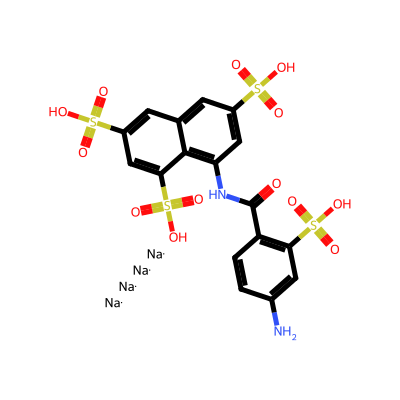 Nc1ccc(C(=O)Nc2cc(S(=O)(=O)O)cc3cc(S(=O)(=O)O)cc(S(=O)(=O)O)c23)c(S(=O)(=O)O)c1.[Na].[Na].[Na].[Na]